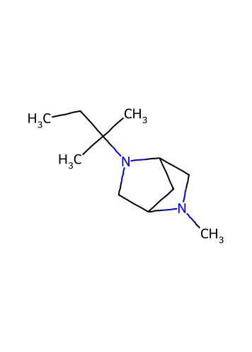 CCC(C)(C)N1CC2CC1CN2C